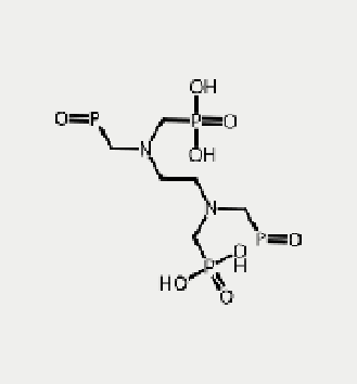 O=PCN(CCN(CP=O)CP(=O)(O)O)CP(=O)(O)O